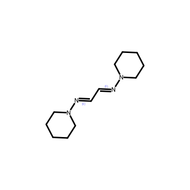 C(/C=N/N1CCCCC1)=N\N1CCCCC1